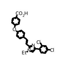 CCn1cc(-c2ccc(Cl)cc2Cl)nc1C=Cc1ccc(Oc2ccc(C(=O)O)cc2)cc1